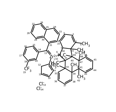 CC1=CC=CC2[CH](/[Zr+2]([C]3=CC=CC3)=[C](/c3cccc(C(F)(F)F)c3)c3cccc4ccccc34)C3(C)C4(C)C=CC=CC4(C)C4(C)C=CC=CC4(C)C3(C)C12C.[Cl-].[Cl-]